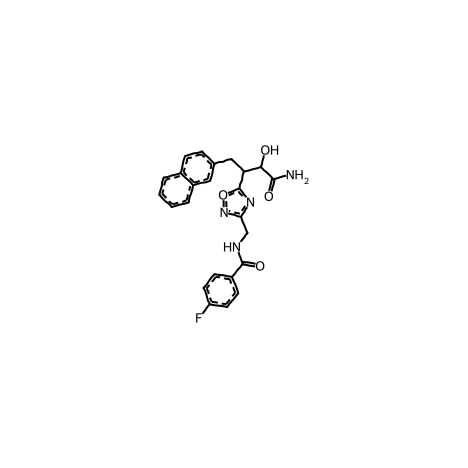 NC(=O)C(O)C(Cc1ccc2ccccc2c1)c1nc(CNC(=O)c2ccc(F)cc2)no1